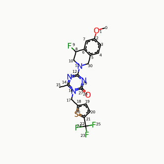 COc1ccc2c(c1)C(F)CN(c1nc(C)n(Cc3ccc(C(F)(F)F)s3)c(=O)n1)C2